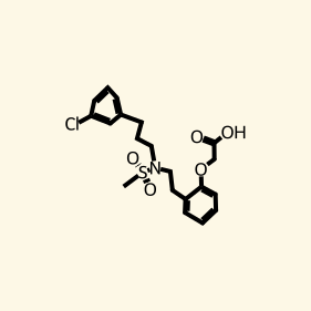 CS(=O)(=O)N(CCCc1cccc(Cl)c1)CCc1ccccc1OCC(=O)O